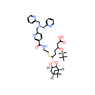 CC1(C)[C@@H]2C[C@H]3OB(C(CCC(CC(=O)O)O[Si](C)(C)C(C)(C)C)SCCNC(=O)c4ccc(CN(Cc5ccccn5)Cc5ccccn5)nc4)O[C@@]3(C)[C@H]1C2